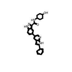 O=C(NC1CCC(O)CC1)c1n[nH]c2ccc(-c3cnc4[nH]c(-c5ccccc5)cc4c3)cc12